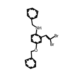 BrC(Br)=Cc1cc(OCc2ccccc2)ccc1NCc1ccccc1